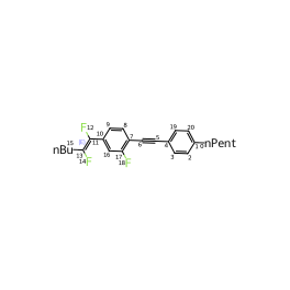 CCCCCc1ccc(C#Cc2ccc(/C(F)=C(\F)CCCC)cc2F)cc1